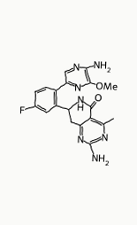 COc1nc(-c2ccc(F)cc2C2Cc3nc(N)nc(C)c3C(=O)N2)cnc1N